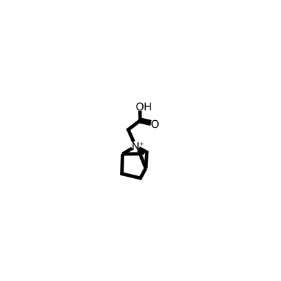 O=C(O)C[N+]1=CC2CCC1C2